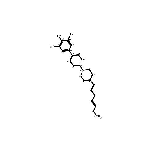 CC/C=C/CCC[C@H]1CC[C@H]([C@H]2CC[C@H](c3cc(F)c(F)c(F)c3)CC2)CC1